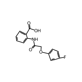 O=C(COc1ccc(F)cc1)Nc1ccccc1C(=O)O